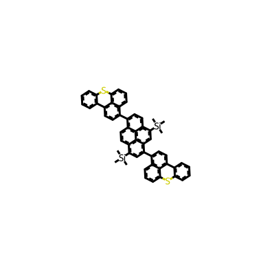 C[Si](C)(C)c1cc2c(-c3ccc4c5c(cccc35)Sc3ccccc3-4)cc([Si](C)(C)C)c3ccc4c(-c5ccc6c7c(cccc57)Sc5ccccc5-6)ccc1c4c23